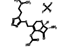 CN(C)CCn1nnnc1SCC1=C(OC(=O)O)N2C(=O)[C@@H](N)[C@@H]2SC1.F[B-](F)(F)F